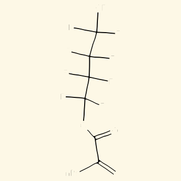 C=C(CCC)C(=O)OC(F)(F)C(F)(F)C(F)(F)C(F)(F)C(F)(F)F